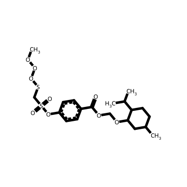 COOOSCS(=O)(=O)Oc1ccc(C(=O)OCOC2CC(C)CCC2C(C)C)cc1